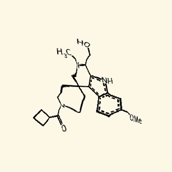 COc1ccc2c3c([nH]c2c1)C(CO)N(C)CC31CCN(C(=O)C2CCC2)CC1